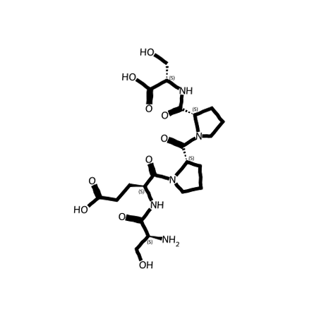 N[C@@H](CO)C(=O)N[C@@H](CCC(=O)O)C(=O)N1CCC[C@H]1C(=O)N1CCC[C@H]1C(=O)N[C@@H](CO)C(=O)O